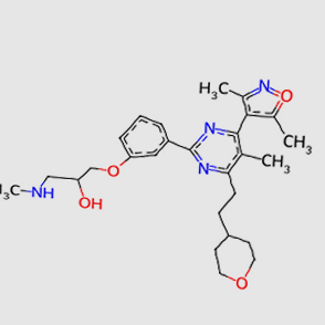 CNCC(O)COc1cccc(-c2nc(CCC3CCOCC3)c(C)c(-c3c(C)noc3C)n2)c1